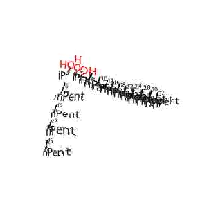 CC(C)O.CC(C)O.CC(C)O.CCCCCC.CCCCCC.CCCCCC.CCCCCC.CCCCCC.CCCCCC.CCCCCC.CCCCCC.CCCCCC.CCCCCC.CCCCCC.CCCCCC.CCCCCC.CCCCCC